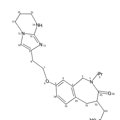 CC(C)N1Cc2cc(OCCc3cn4c(n3)NCCC4)ccc2CC(CC(=O)O)C1=O